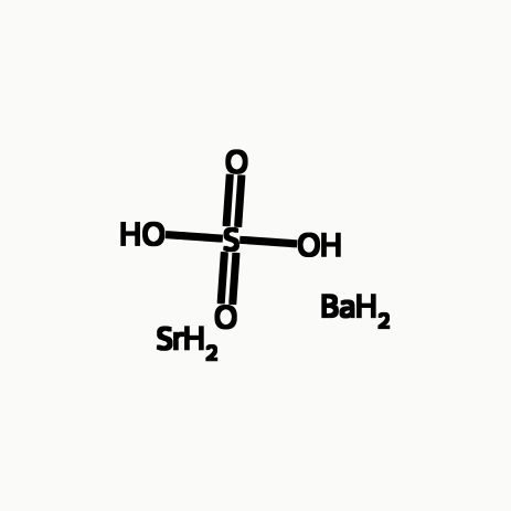 O=S(=O)(O)O.[BaH2].[SrH2]